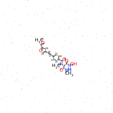 CNC(=O)C(C(=O)NO)N(C)C(=O)c1ccc(C#Cc2coc(COC)c2)cc1